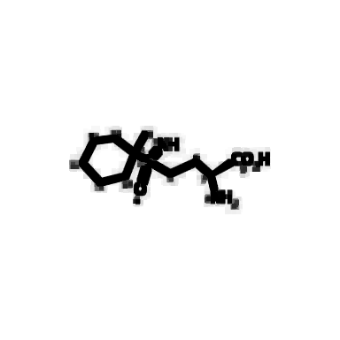 CC1(S(=N)(=O)CC[C@H](N)C(=O)O)CCCCC1